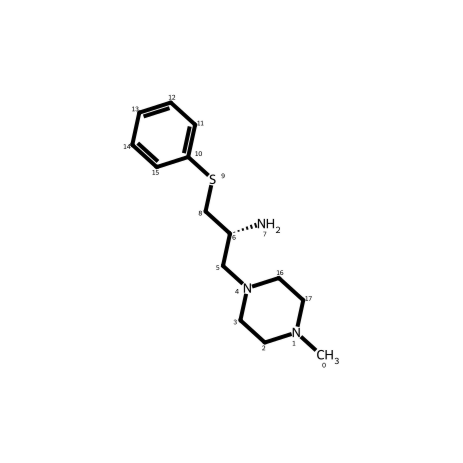 CN1CCN(C[C@@H](N)CSc2ccccc2)CC1